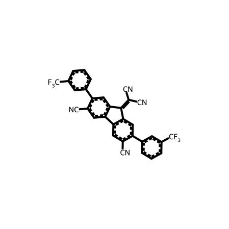 N#CC(C#N)=C1c2cc(-c3cccc(C(F)(F)F)c3)c(C#N)cc2-c2cc(C#N)c(-c3cccc(C(F)(F)F)c3)cc21